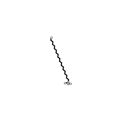 ClCCCCCCCCCCCCCCCCCCCC[SiH](Cl)Cl